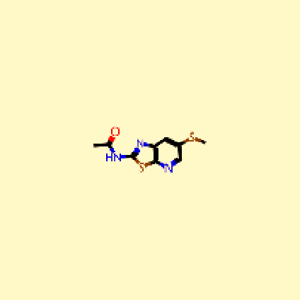 CSc1cnc2sc(NC(C)=O)nc2c1